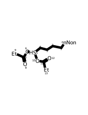 CCCCCCCCCCCCC[SH](OC(=O)CC)OC(=O)CC